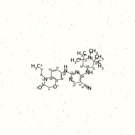 CCCN1C(=O)COc2cc(Nc3ncc(C#N)c(NC4CC(C)(C)N(C)C(C)(C)C4)n3)ccc21